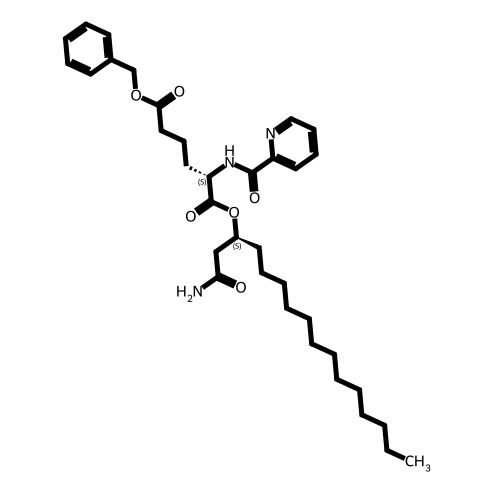 CCCCCCCCCCCCC[C@@H](CC(N)=O)OC(=O)[C@H](CCCC(=O)OCc1ccccc1)NC(=O)c1ccccn1